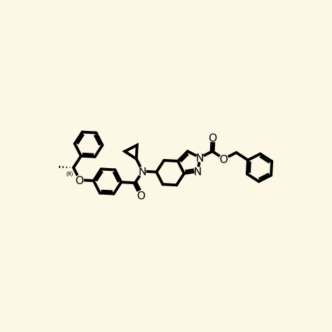 C[C@@H](Oc1ccc(C(=O)N(C2CC2)C2CCc3nn(C(=O)OCc4ccccc4)cc3C2)cc1)c1ccccc1